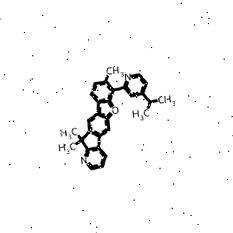 Cc1ccc2c(oc3cc4c(cc32)C(C)(C)c2ncccc2-4)c1-c1cc(C(C)C)ccn1